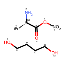 CC(C)[C@H](N)C(=O)O[N+](=O)[O-].OCCCCO